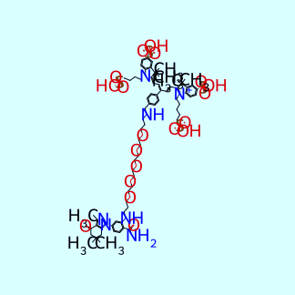 Cc1nn(-c2ccc(C(N)=O)c(NCCCOCCOCCOCCOCCOCCCNCc3ccc(C(=C\C=C4\N(CCCCS(=O)(=O)O)c5ccc(S(=O)(=O)O)cc5C4(C)C)/C=C/C4=[N+](CCCCCS(=O)(=O)O)c5ccc(S(=O)(=O)O)cc5C4(C)C)cc3)c2)c2c1C(=O)CC(C)(C)C2